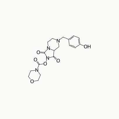 O=C(ON1C(=O)C2CN(Cc3ccc(O)cc3)CCN2C1=O)N1CCOCC1